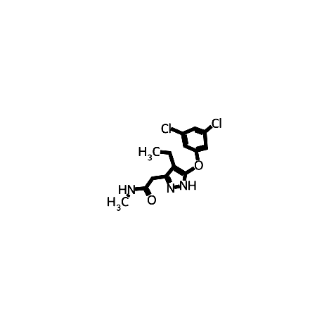 CCc1c(CC(=O)NC)n[nH]c1Oc1cc(Cl)cc(Cl)c1